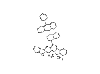 CC1(C)c2ccccc2-c2cc(-c3ccc(-c4c5ccccc5c(-c5ccccc5)c5ccccc45)c4ccccc34)c3cc4c(cc3c21)oc1ccccc14